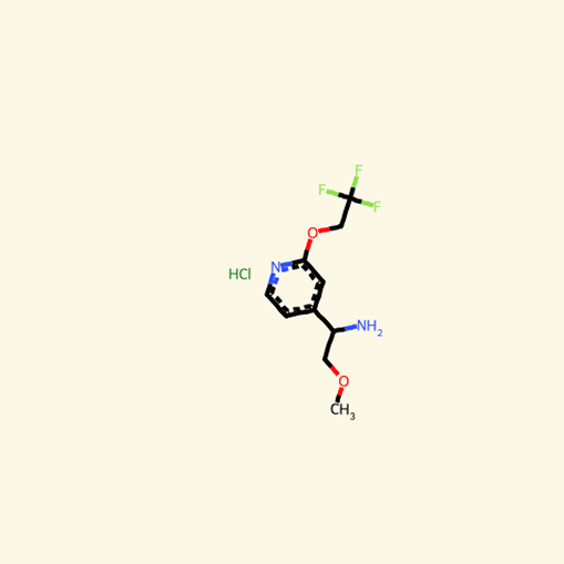 COCC(N)c1ccnc(OCC(F)(F)F)c1.Cl